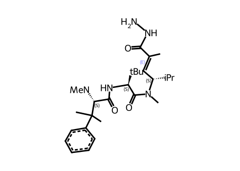 CN[C@H](C(=O)N[C@H](C(=O)N(C)[C@H](/C=C(\C)C(=O)NN)C(C)C)C(C)(C)C)C(C)(C)c1ccccc1